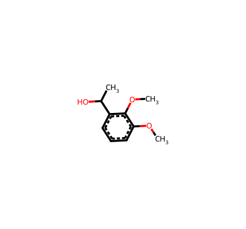 COc1cccc(C(C)O)c1OC